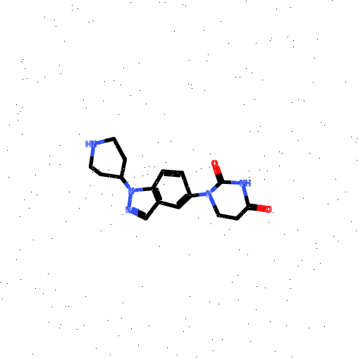 O=C1CCN(c2ccc3c(cnn3C3CCNCC3)c2)C(=O)N1